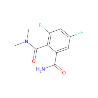 CN(C)C(=O)c1c(F)cc(F)cc1C(N)=O